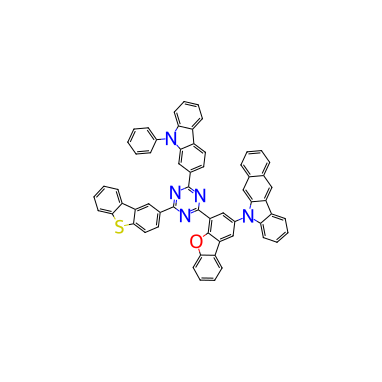 c1ccc(-n2c3ccccc3c3ccc(-c4nc(-c5ccc6sc7ccccc7c6c5)nc(-c5cc(-n6c7ccccc7c7cc8ccccc8cc76)cc6c5oc5ccccc56)n4)cc32)cc1